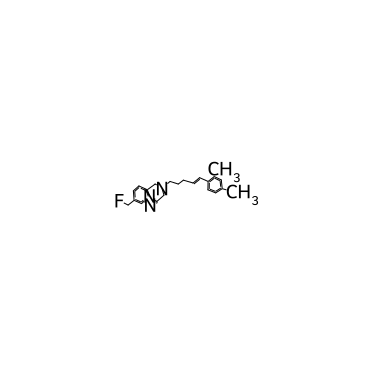 Cc1ccc(/C=C/CCCN(CC#N)Cc2ccc(CF)cn2)c(C)c1